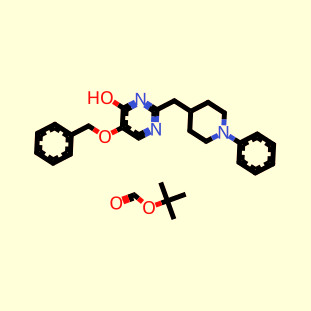 CC(C)(C)OC=O.Oc1nc(CC2CCN(c3ccccc3)CC2)ncc1OCc1ccccc1